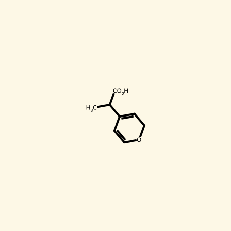 CC(C(=O)O)C1=CCOC=C1